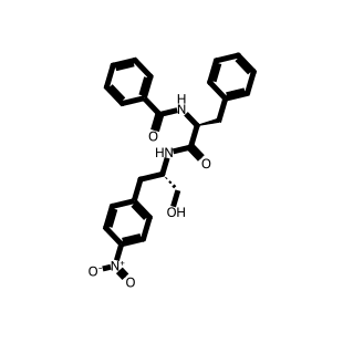 O=C(N[C@@H](Cc1ccccc1)C(=O)N[C@H](CO)Cc1ccc([N+](=O)[O-])cc1)c1ccccc1